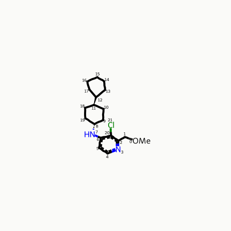 COCc1nccc(N[C@H]2CC[C@H](C3CCCCC3)CC2)c1Cl